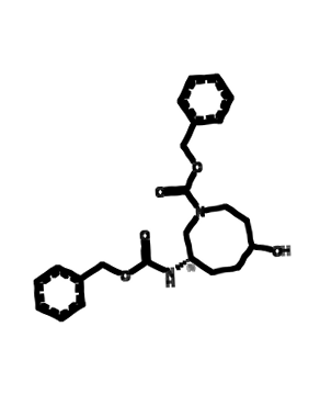 O=C(N[C@H]1CCC(O)CCN(C(=O)OCc2ccccc2)C1)OCc1ccccc1